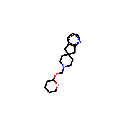 c1cnc2c(c1)CC1(CCN(COC3CCCCO3)CC1)C2